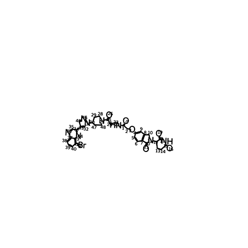 O=C(COc1ccc2c(c1)CN(C1CCC(=O)NC1=O)C2=O)NCCC(=O)N1CCC(n2cc(-c3cnc4cccc(Br)c4n3)cn2)CC1